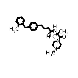 Cc1ccccc1Cc1ccc(CCCC(=O)NC(C)(C)C(=O)N2CCN(C)CC2)cc1